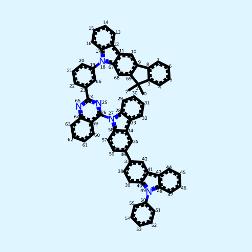 CC1(C)c2ccccc2-c2cc3c4ccccc4n(-c4cccc(-c5nc(-n6c7ccccc7c7cc(-c8ccc9c(c8)c8ccccc8n9-c8ccccc8)ccc76)c6ccccc6n5)c4)c3cc21